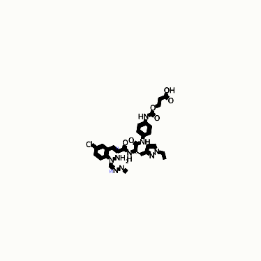 C=N/N=C\N(N)c1ccc(Cl)cc1/C=C/C(=O)N[C@@H](Cc1ccn(CC)n1)C(=O)Nc1ccc(NC(=O)OCCC(=O)O)cc1